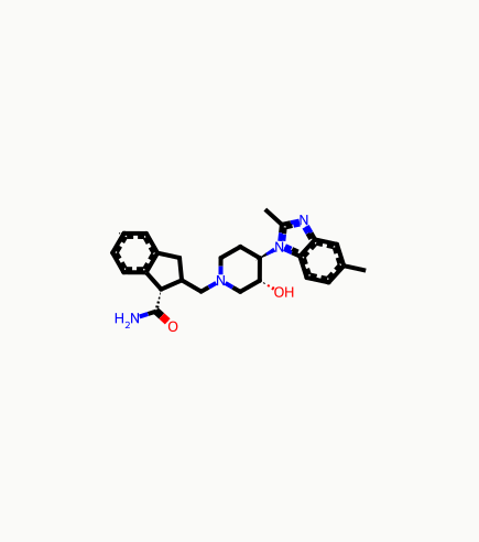 Cc1ccc2c(c1)nc(C)n2[C@@H]1CCN(CC2Cc3c[c]ccc3[C@H]2C(N)=O)C[C@H]1O